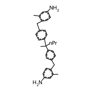 CCCC(C)(c1ccc(Cc2ccc(N)cc2C)cc1)c1ccc(Cc2ccc(N)cc2C)cc1